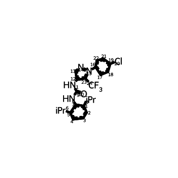 CC(C)c1cccc(C(C)C)c1NC(=O)Nc1cnn(-c2ccc(Cl)cc2)c1C(F)(F)F